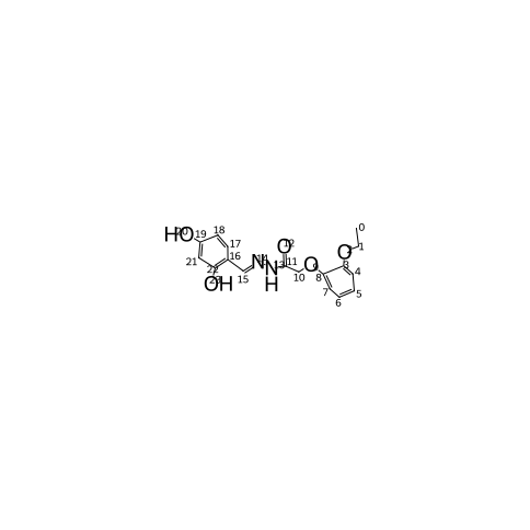 CCOc1ccccc1OCC(=O)N/N=C/c1ccc(O)cc1O